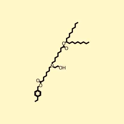 CCCCCCCCC(CCCCCCCC)OC(=O)CCCCCCCN(CCO)CCCCCCC(=O)OCc1ccc(CC)cc1